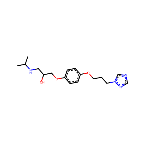 CC(C)NCC(O)COc1ccc(OCCCn2cncn2)cc1